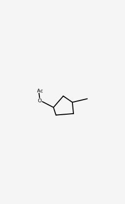 CC(=O)OC1CCC(C)C1